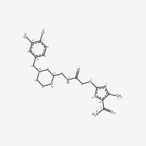 Cc1nc(SCC(=O)NCC2CN(Cc3ccc(Cl)c(Cl)c3)CCO2)sc1C(N)=O